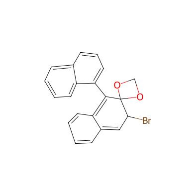 BrC1C=c2ccccc2=C(c2cccc3ccccc23)C12OCO2